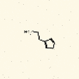 O=C(O)CCC1=CCC=C1